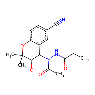 CCC(=O)NN(C(C)=O)C1c2cc(C#N)ccc2OC(C)(C)C1O